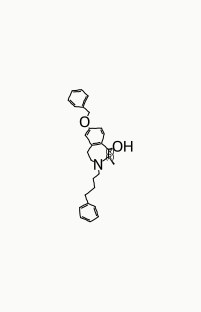 C[C@@H]1[C@H](O)c2ccc(OCc3ccccc3)cc2CCN1CCCCc1ccccc1